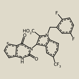 O=C(O)c1c(-n2c(=O)[nH]c3ccsc3c2=O)c2cc(C(F)(F)F)ccc2n1Cc1cc(F)ccc1F